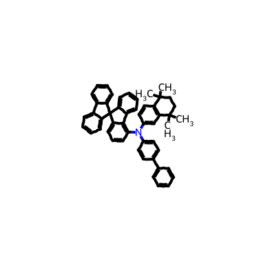 CC1(C)CCC(C)(C)c2cc(N(c3ccc(-c4ccccc4)cc3)c3cccc4c3-c3ccccc3C43c4ccccc4-c4ccccc43)ccc21